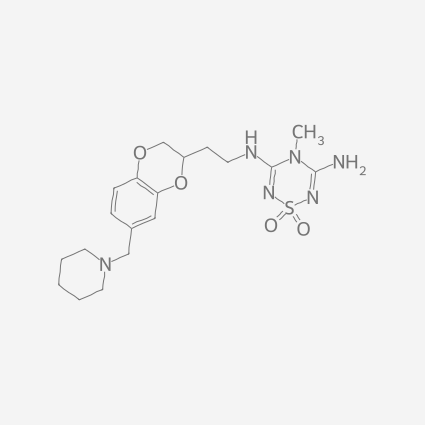 CN1C(N)=NS(=O)(=O)N=C1NCCC1COc2ccc(CN3CCCCC3)cc2O1